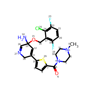 CN1CCN(C(=O)c2ccc(C3=CC(N)(OCc4c(F)ccc(F)c4Cl)C=NC3)s2)CC1